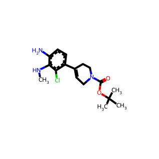 CNc1c(N)ccc(C2=CCN(C(=O)OC(C)(C)C)CC2)c1Cl